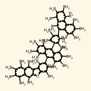 Bc1c(B)c(-c2c(B)c3c(B)c(B)c(B)c(B)c3c3c(B)c(B)c(B)c(B)c23)c(B)c(B)c1-c1c2c(B)c(B)c(B)c(B)c2c(-c2c(B)c(B)c3oc4c(B)c5c(B)c(B)c(B)c(B)c5c(B)c4c3c2B)c2c(B)c(B)c(B)c(B)c12